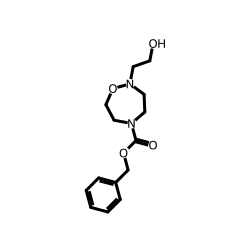 O=C(OCc1ccccc1)N1CCON(CCO)CC1